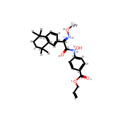 C=CCOC(=O)c1ccc(N(O)C(=O)/C(=N/OCCC)c2ccc3c(c2)C(C)(C)CCC3(C)C)cc1